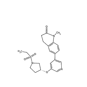 CCS(=O)(=O)N1CC[C@@H](Oc2cncc(-c3ccc4c(c3)CCC(=O)N4C)c2)C1